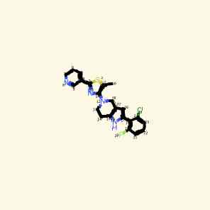 Cc1sc(-c2cccnc2)nc1N1CCc2[nH]c(-c3c(F)cccc3Cl)cc2C1